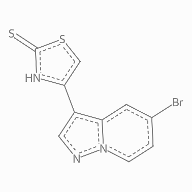 S=c1[nH]c(-c2cnn3ccc(Br)cc23)cs1